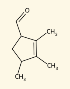 CC1=C(C)C(C=O)CC1C